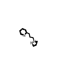 c1ccc(CCCn2cccn2)nc1